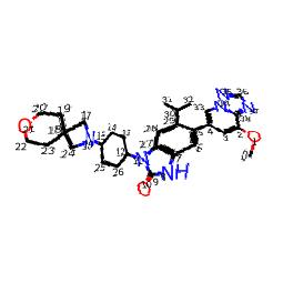 COc1cc(-c2cc3[nH]c(=O)n(C4CCC(N5CC6(CCOCC6)C5)CC4)c3cc2C(C)C)cn2ncnc12